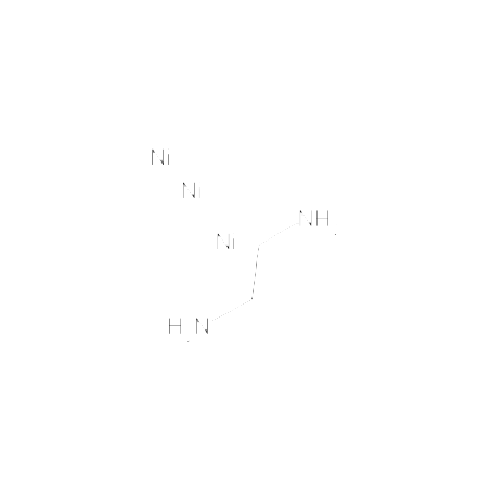 NCCN.[Ni].[Ni].[Ni]